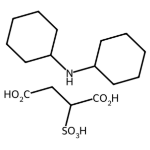 C1CCC(NC2CCCCC2)CC1.O=C(O)CC(C(=O)O)S(=O)(=O)O